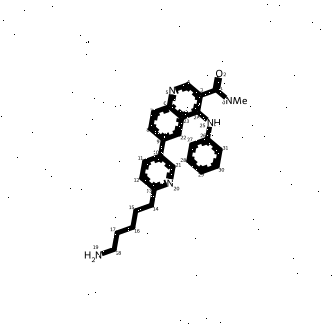 CNC(=O)c1cnc2ccc(-c3ccc(CCCCCN)nc3)cc2c1Nc1ccccc1